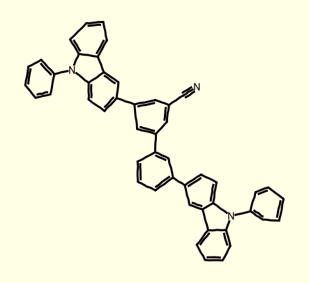 N#Cc1cc(-c2cccc(-c3ccc4c(c3)c3ccccc3n4-c3ccccc3)c2)cc(-c2ccc3c(c2)c2ccccc2n3-c2ccccc2)c1